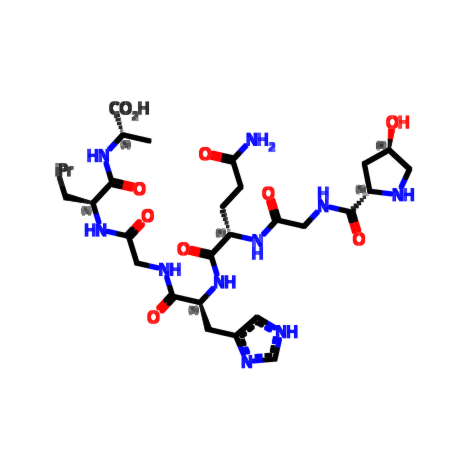 CC(C)C[C@H](NC(=O)CNC(=O)[C@H](Cc1c[nH]cn1)NC(=O)[C@H](CCC(N)=O)NC(=O)CNC(=O)[C@@H]1C[C@@H](O)CN1)C(=O)N[C@@H](C)C(=O)O